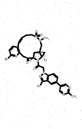 CC(=O)c1nn(CC(=O)N2[C@H]3C[C@]4(C[C@@H]24)CN(C)S(=O)(=O)CCC=Cc2ccc(Br)nc2CC3=O)c2ccc(-c3cnc(C)nc3)cc12